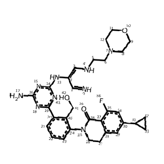 N=C/C(=C\NCCN1CCOCC1)Nc1nc(N)nc(-c2cccc(N3CCc4cc(C5CC5)cc(F)c4C3=O)c2CO)n1